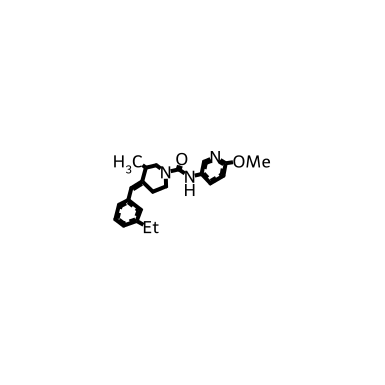 CCc1cccc(C=C2CCN(C(=O)Nc3ccc(OC)nc3)CC2C)c1